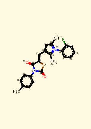 Cc1ccc(N2C(=O)SC(=Cc3cc(C)n(-c4ccccc4F)c3C)C2=O)cc1